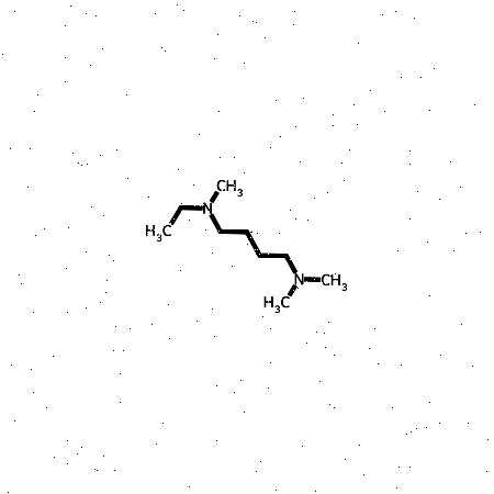 CCN(C)C[CH]CCN(C)C